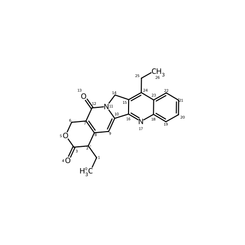 CC[C]1C(=O)OCc2c1cc1n(c2=O)Cc2c-1nc1cc[c]cc1c2CC